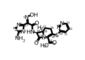 Nc1nc(/C(=N/O)C(=O)N[C@@H]2C(=O)N3C(C(=O)O)=C(Sc4cccnn4)CC[C@H]23)ns1